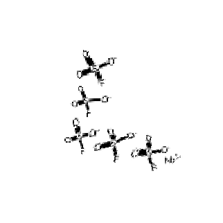 O=S(=O)([O-])F.O=S(=O)([O-])F.O=S(=O)([O-])F.O=S(=O)([O-])F.O=S(=O)([O-])F.[Nb+5]